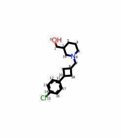 OCC1CCCN(CC2CC(c3ccc(Cl)cc3)C2)C1